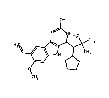 C=Cc1cc2nc(C(NC(=O)O)C(C3CCCC3)C(C)(C)C)[nH]c2cc1OC